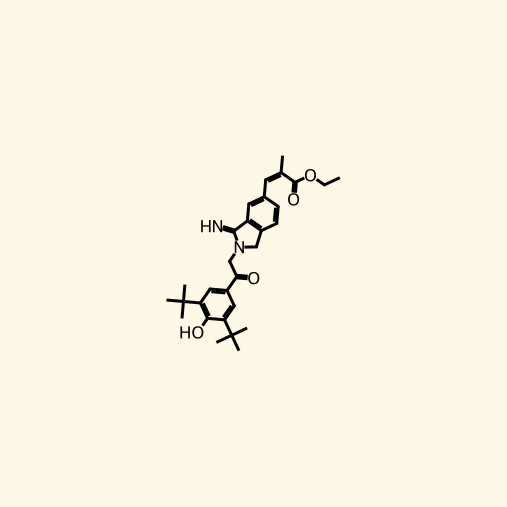 CCOC(=O)C(C)=Cc1ccc2c(c1)C(=N)N(CC(=O)c1cc(C(C)(C)C)c(O)c(C(C)(C)C)c1)C2